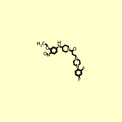 CCOc1cc(NC2CCN(C(=O)CCN3CCN(c4ccc(F)cc4F)CC3)CC2)ccc1N=O